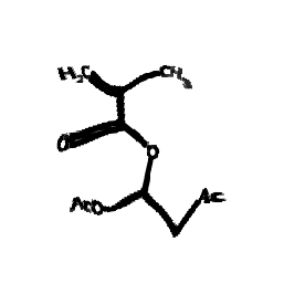 C=C(C)C(=O)OC(CC(C)=O)OC(C)=O